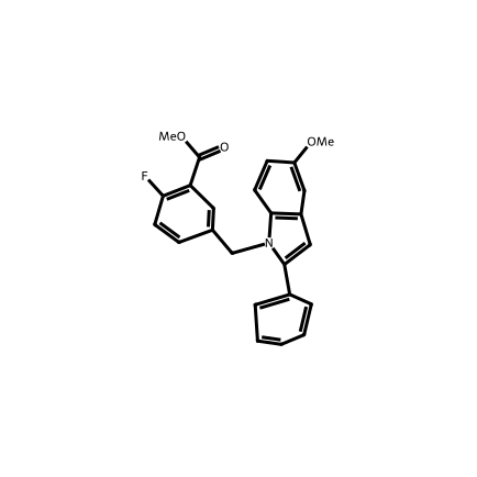 COC(=O)c1cc(Cn2c(-c3ccccc3)cc3cc(OC)ccc32)ccc1F